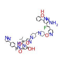 CC(C)[C@@H](C(=O)N1C[C@H](O)C[C@H]1C(=O)N[C@@H](C)c1ccc(-c2ccnn2C)cc1)c1cc(N2CCC(CN3CCC(Oc4cc(C=C(F)c5cc(-c6ccccc6O)nnc5N)ccn4)CC3)CC2)no1